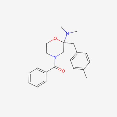 Cc1ccc(CC2(N(C)C)CN(C(=O)c3ccccc3)CCO2)cc1